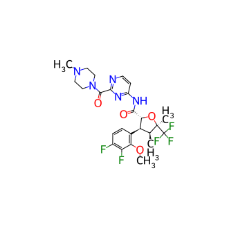 COc1c([C@H]2[C@H](C(=O)Nc3ccnc(C(=O)N4CCN(C)CC4)n3)O[C@@](C)(C(F)(F)F)[C@H]2C)ccc(F)c1F